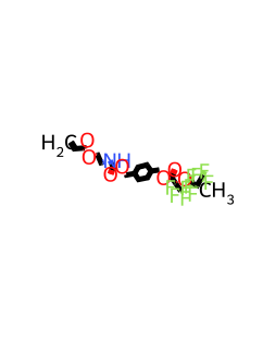 C=CC(=O)OCCNC(=O)OCC1CCC(COC(=O)C(F)(OC(F)(F)C(C)(F)C(F)(F)F)C(F)(F)F)CC1